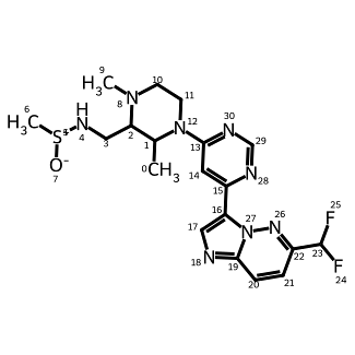 CC1C(CN[S+](C)[O-])N(C)CCN1c1cc(-c2cnc3ccc(C(F)F)nn23)ncn1